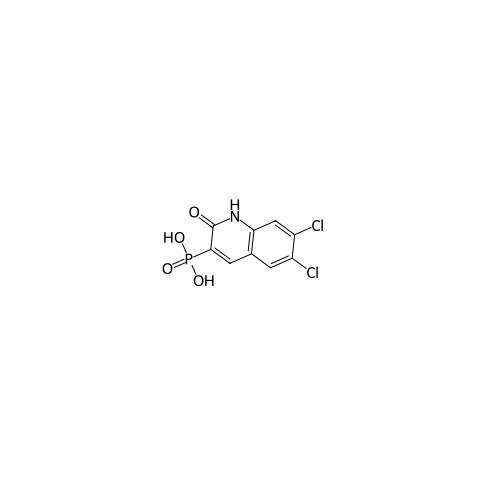 O=c1[nH]c2cc(Cl)c(Cl)cc2cc1P(=O)(O)O